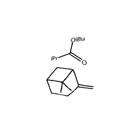 C=C1CCC2CC1C2(C)C.CC(C)COC(=O)C(C)C